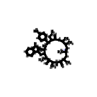 COC1C(=O)OC(C)C(C)/C=C(\C)CC(C)C(=O)NC(C)C(=O)N(C)C(Cc2c[nH]c3ccccc23)C(=O)NC1c1ccc(O)cc1